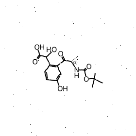 C[C@H](NC(=O)OC(C)(C)C)C(=O)c1cc(O)ccc1C(O)C(=O)O